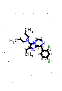 CCCN(CCC)c1c(CC)nc2c(-c3ccc(Br)cc3F)nccn12